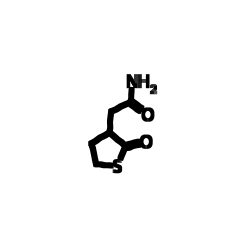 NC(=O)CC1CCSC1=O